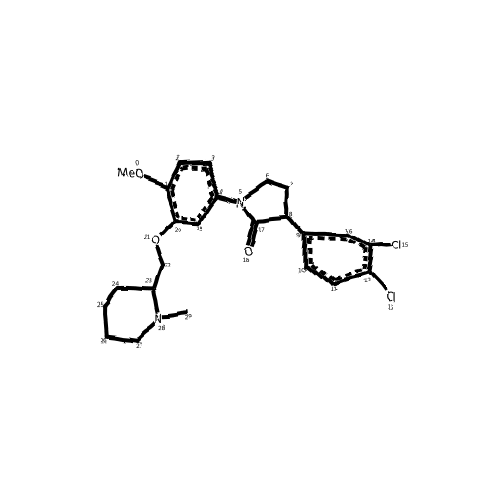 COc1ccc(N2CCC(c3ccc(Cl)c(Cl)c3)C2=O)cc1OCC1CCCCN1C